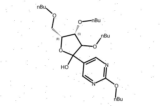 CCCCOC[C@H]1OC(O)(c2cnc(OCCCC)nc2)C(OCCCC)[C@H]1OCCCC